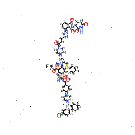 CC1(C)CCC(c2ccc(Cl)cc2)=C(CN2CCN(c3ccc(C(=O)NS(=O)(=O)c4ccc(N[C@H](CCN5CCN(C(=O)CCCCNc6cccc7c6C(=O)N(C6CCC(=O)NC6=O)C7=O)CC5)CSc5ccccc5)c(S(=O)(=O)C(F)(F)F)c4)cc3)CC2)C1